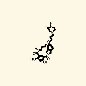 CCCCN(C)C(=O)c1cc(C(=O)N2Cc3ccc(OCCCN4CCNC(=O)C4)cc3C2)c(O)cc1O